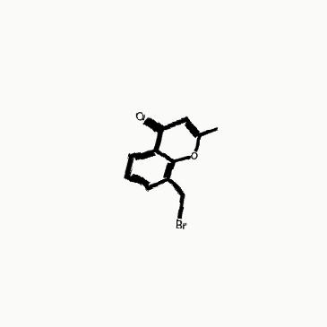 Cc1cc(=O)c2cccc(CBr)c2o1